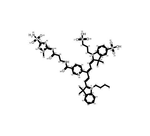 CCCC[N+]1=C(/C=C/C(=C/C=C2/N(CCCS(=O)(=O)O)c3ccc(S(=O)(=O)O)cc3C2(C)C)c2ccc(C(=O)NCCC(=O)/N=c3/sc(S(N)(=O)=O)nn3C)cn2)C(C)(C)c2ccccc21